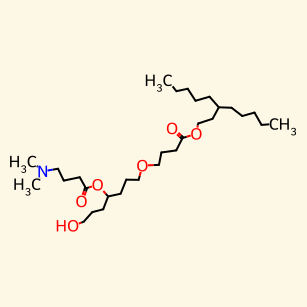 CCCCCC(CCCCC)CCOC(=O)CCCOCCCC(CCCO)OC(=O)CCCN(C)C